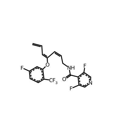 C=C/C=C(\C=C/CNC(=O)c1c(F)cncc1F)Oc1cc(F)ccc1C(F)(F)F